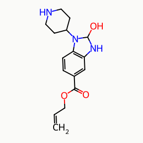 C=CCOC(=O)c1ccc2c(c1)NC(O)N2C1CCNCC1